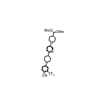 COC(OC)C1CCN(c2ccc(C3CCN(c4ccc(C#N)c(C(F)(F)F)c4)CC3)nc2)CC1